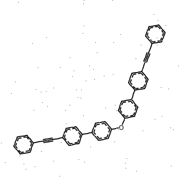 C(#Cc1ccc(-c2ccc(Oc3ccc(-c4ccc(C#Cc5ccccc5)cc4)cc3)cc2)cc1)c1ccccc1